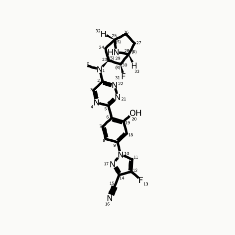 CN(c1cnc(-c2ccc(-n3cc(F)c(C#N)n3)cc2O)nn1)[C@H]1C[C@@H]2CC[C@@H](N2)[C@H]1F